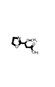 COC(CC(=O)O)C1=NCCO1